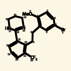 COc1ccc(Br)cc1CCc1c(C2=NCCCN2)cccc1C(F)(F)F